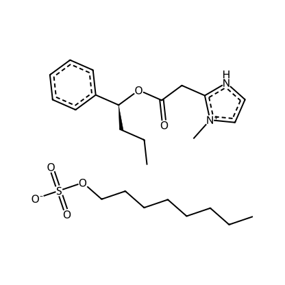 CCCCCCCCOS(=O)(=O)[O-].CCC[C@H](OC(=O)Cc1[nH]cc[n+]1C)c1ccccc1